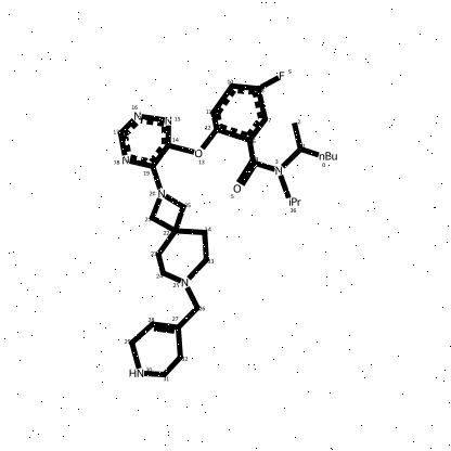 CCCCC(C)N(C(=O)c1cc(F)ccc1Oc1nncnc1N1CC2(CCN(CC3=CCNCC3)CC2)C1)C(C)C